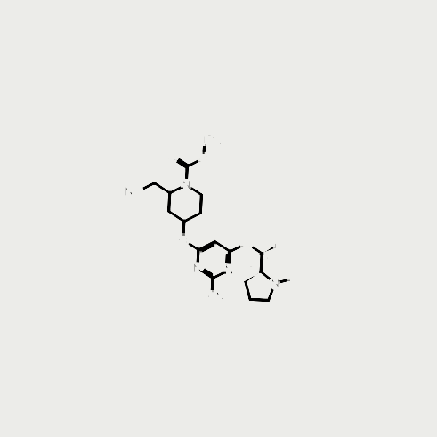 C[C@H](Oc1cc(OC2CCN(C(=O)OC(C)(C)C)C(CC#N)C2)nc(C#N)n1)[C@@H]1CCCN1C